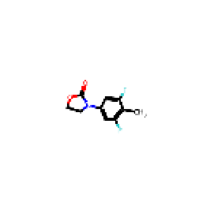 Cc1c(F)cc(N2CCOC2=O)cc1F